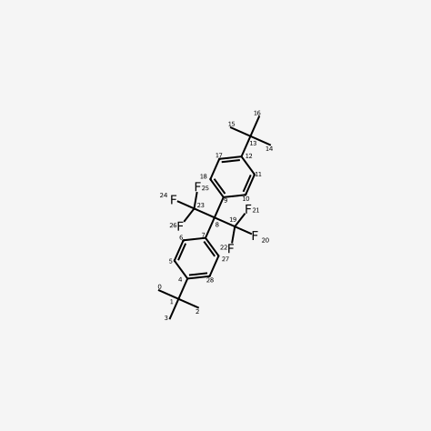 CC(C)(C)c1ccc(C(c2ccc(C(C)(C)C)cc2)(C(F)(F)F)C(F)(F)F)cc1